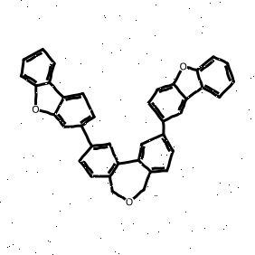 c1ccc2c(c1)oc1cc(-c3ccc4c(c3)-c3cc(-c5ccc6oc7ccccc7c6c5)ccc3COC4)ccc12